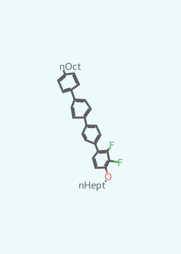 CCCCCCCCc1ccc(-c2ccc(-c3ccc(-c4ccc(OCCCCCCC)c(F)c4F)cc3)cc2)cc1